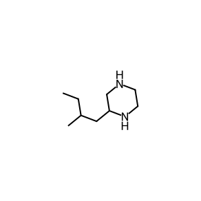 CCC(C)CC1CNCCN1